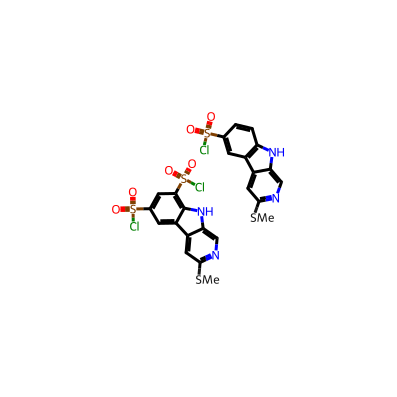 CSc1cc2c(cn1)[nH]c1c(S(=O)(=O)Cl)cc(S(=O)(=O)Cl)cc12.CSc1cc2c(cn1)[nH]c1ccc(S(=O)(=O)Cl)cc12